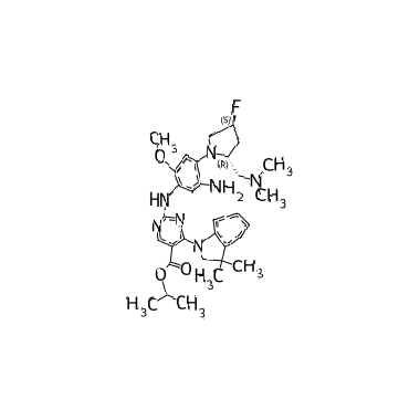 COc1cc(N2C[C@@H](F)C[C@@H]2CN(C)C)c(N)cc1Nc1ncc(C(=O)OC(C)C)c(N2CC(C)(C)c3ccccc32)n1